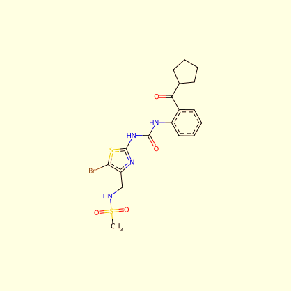 CS(=O)(=O)NCc1nc(NC(=O)Nc2ccccc2C(=O)C2CCCC2)sc1Br